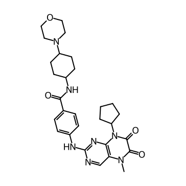 Cn1c(=O)c(=O)n(C2CCCC2)c2nc(Nc3ccc(C(=O)NC4CCC(N5CCOCC5)CC4)cc3)ncc21